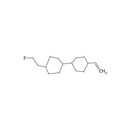 C=CC1CCC(C2CCC(CCF)CC2)CC1